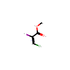 COC(=O)/C(I)=C\Cl